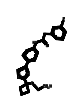 O=C(O)COC1(c2ncc(-c3ccc(NC(=O)Cc4cccc(F)c4)cc3)s2)CCC1